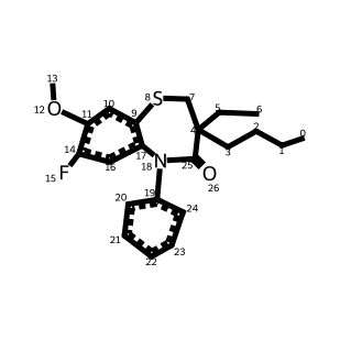 CCCCC1(CC)CSc2cc(OC)c(F)cc2N(c2ccccc2)C1=O